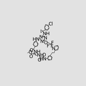 COC(=O)[C@H](CNC(=O)C(=O)Nc1cccc(CCc2ccccn2)c1)NC(=O)c1ccc(Nc2nc(NC3(c4ccc(Cl)cc4)CC3)nc(OCC(F)(F)F)n2)cc1